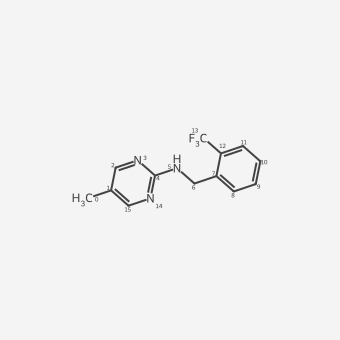 Cc1cnc(NCc2ccccc2C(F)(F)F)nc1